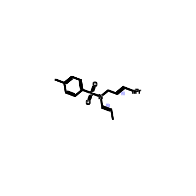 C/C=C/N(C/C=C/CCC)S(=O)(=O)c1ccc(C)cc1